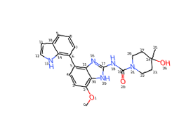 COc1ccc(-c2cccc3cc[nH]c23)c2nc(NC(=O)N3CCC(C)(O)CC3)[nH]c12